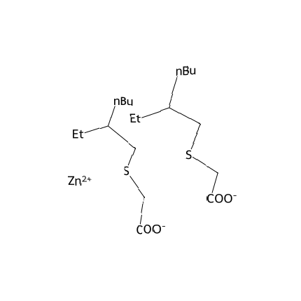 CCCCC(CC)CSCC(=O)[O-].CCCCC(CC)CSCC(=O)[O-].[Zn+2]